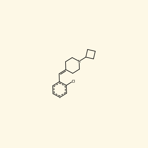 Clc1c[c]ccc1C=C1CCN(C2CCC2)CC1